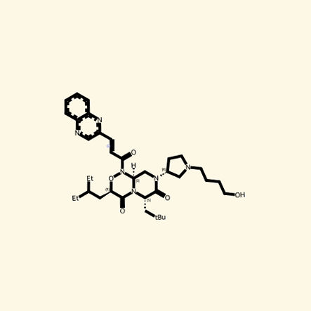 CCC(CC)C[C@H]1ON(C(=O)/C=C/c2cnc3ccccc3n2)[C@H]2CN([C@@H]3CCN(CCCCO)C3)C(=O)[C@H](CC(C)(C)C)N2C1=O